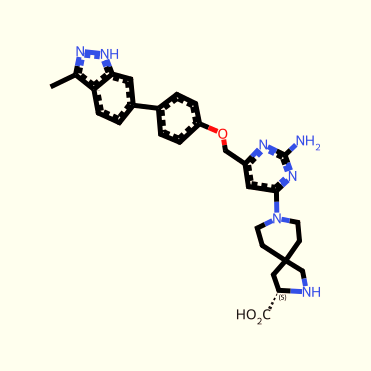 Cc1n[nH]c2cc(-c3ccc(OCc4cc(N5CCC6(CC5)CN[C@H](C(=O)O)C6)nc(N)n4)cc3)ccc12